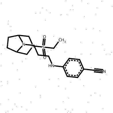 CCS(=O)(=O)N1CC2CCC(C1)N2CCCNc1ccc(C#N)cc1